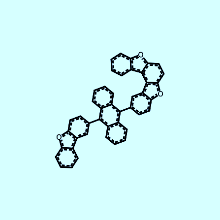 c1ccc2c(c1)oc1ccc(-c3c4ccccc4c(-c4ccc5oc6ccc7oc8ccccc8c7c6c5c4)c4ccccc34)cc12